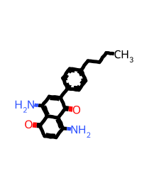 CCCCc1ccc(C2=CC(N)=C3C(=O)C=CC(N)=C3C2=O)cc1